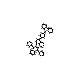 c1ccc(-c2c3c(c(-c4ccccc4)c4ccccc24)-c2ccc(-c4ccc(-n5c6ccccc6c6ncncc65)cc4)c4cccc-3c24)cc1